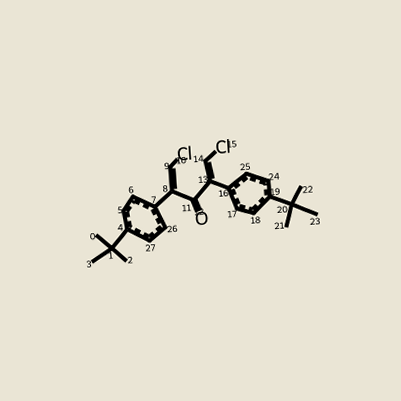 CC(C)(C)c1ccc(C(=CCl)C(=O)C(=CCl)c2ccc(C(C)(C)C)cc2)cc1